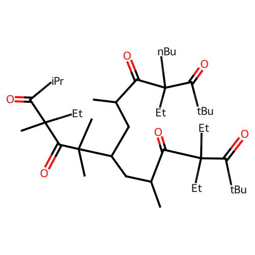 CCCCC(CC)(C(=O)C(C)CC(CC(C)C(=O)C(CC)(CC)C(=O)C(C)(C)C)C(C)(C)C(=O)C(C)(CC)C(=O)C(C)C)C(=O)C(C)(C)C